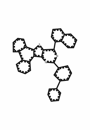 c1ccc(-c2cccc(-c3nc(-c4cccc5ccccc45)c4sc5c6ccccc6c6ccccc6c5c4n3)c2)cc1